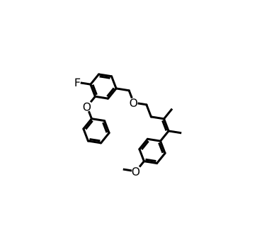 COc1ccc(C(C)=C(C)CCOCc2ccc(F)c(Oc3ccccc3)c2)cc1